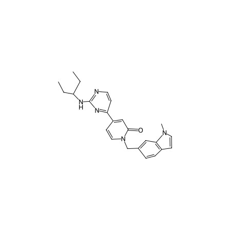 CCC(CC)Nc1nccc(-c2ccn(Cc3ccc4ccn(C)c4c3)c(=O)c2)n1